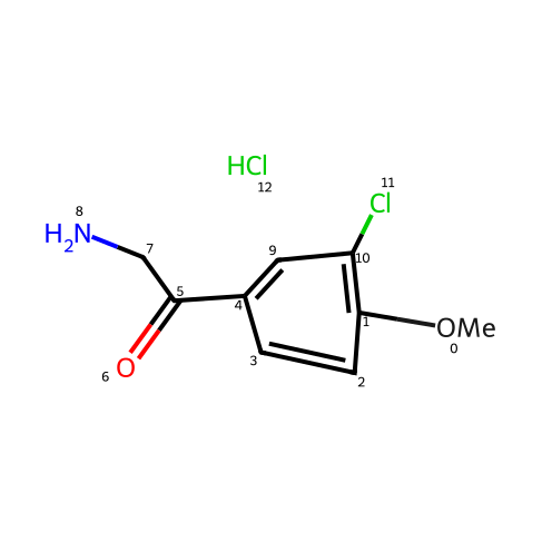 COc1ccc(C(=O)CN)cc1Cl.Cl